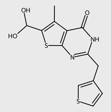 Cc1c(C(O)O)sc2nc(Cc3ccsc3)[nH]c(=O)c12